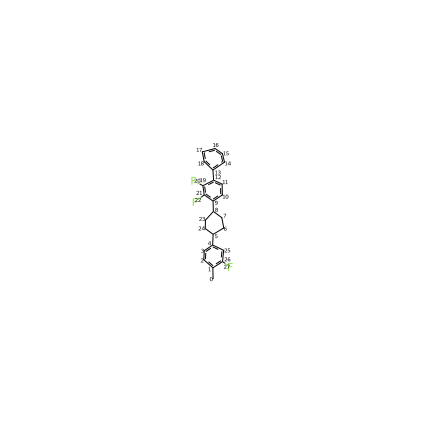 Cc1ccc(C2CCC(c3ccc(-c4ccccc4)c(F)c3F)CC2)cc1F